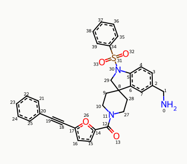 NCc1ccc2c(c1)C1(CCN(C(=O)c3ccc(C#Cc4ccccc4)o3)CC1)CN2S(=O)(=O)c1ccccc1